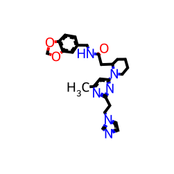 Cc1cc(N2CCCCC2CC(=O)NCc2ccc3c(c2)OCO3)nc(CCn2ccnc2)n1